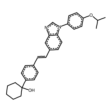 CC(C)Oc1ccc(-n2cnc3cc(C=Cc4ccc(C5(O)CCCCC5)cc4)ccc32)cc1